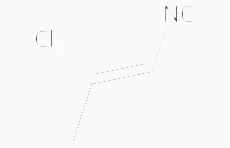 [C-]#[N+]C=C(C)Cl